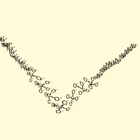 [Na+].[Na+].[Na+].[Na+].[Na+].[Na+].[Na+].[Na+].[Na+].[Na+].[Na+].[Na+].[Na+].[Na+].[Na+].[Na+].[Na+].[Na+].[Na+].[Na+].[Na+].[Na+].[Na+].[Na+].[Na+].[Na+].[Na+].[Na+].[O-][Si]([O-])([O-])[O-].[O-][Si]([O-])([O-])[O-].[O-][Si]([O-])([O-])[O-].[O-][Si]([O-])([O-])[O-].[O-][Si]([O-])([O-])[O-].[O-][Si]([O-])([O-])[O-].[O-][Si]([O-])([O-])[O-]